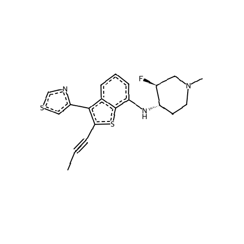 CC#Cc1sc2c(N[C@H]3CCN(C)C[C@@H]3F)cccc2c1-c1cscn1